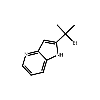 CCC(C)(C)c1cc2ncccc2[nH]1